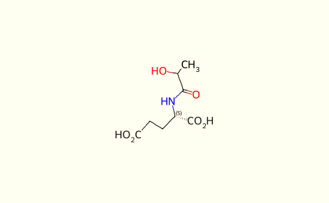 CC(O)C(=O)N[C@@H](CCC(=O)O)C(=O)O